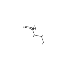 [CH]=[SH]CCC